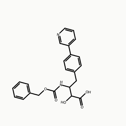 O=C(NC(Cc1ccc(-c2cccnc2)cc1)C(O)C(=O)O)OCc1ccccc1